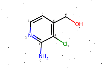 Nc1nccc(CO)c1Cl